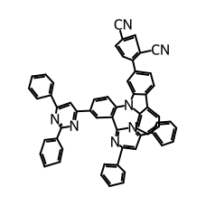 N#Cc1ccc(-c2ccc3c4ccccc4n(-c4ccc(-c5cc(-c6ccccc6)nc(-c6ccccc6)n5)cc4-c4nc(-c5ccccc5)cc(-c5ccccc5)n4)c3c2)c(C#N)c1